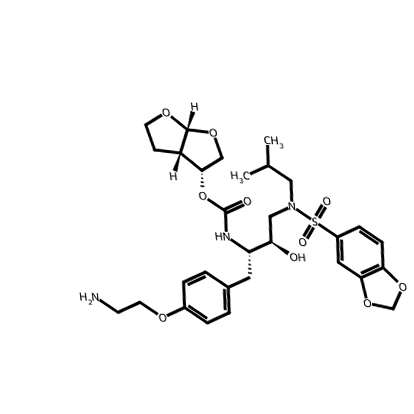 CC(C)CN(C[C@@H](O)[C@H](Cc1ccc(OCCN)cc1)NC(=O)O[C@H]1CO[C@H]2OCC[C@H]21)S(=O)(=O)c1ccc2c(c1)OCO2